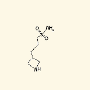 NS(=O)(=O)CCCC1CNC1